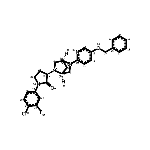 O=C1[C@H](N2C[C@@H]3C[C@H]2CN3c2ccc(OCc3ccccc3)cn2)CCN1c1ccc(Cl)c(F)c1